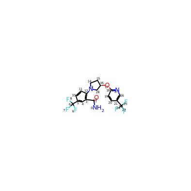 NC(=O)c1cc(C(F)(F)F)ccc1N1CC[C@@H](Oc2ccc(C(F)(F)F)cn2)C1